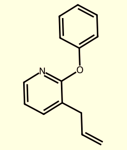 C=CCc1cccnc1Oc1ccccc1